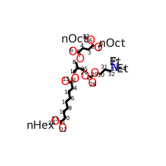 CCCCCCCCOC(CCC(=O)OCC(COC(=O)CCCCCCCC(=O)OCCCCCC)COC(=O)OCCCN(CC)CC)OCCCCCCCC